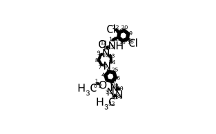 CCOc1cc(N2CCCN(C(=O)NCc3cc(Cl)ccc3Cl)CC2)ccc1-n1cnc(C)n1